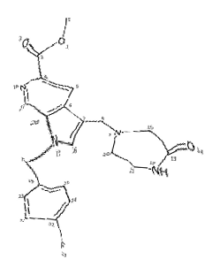 COC(=O)c1cc2c(CN3CCNC(=O)C3)cn(Cc3ccc(F)cc3)c2cn1